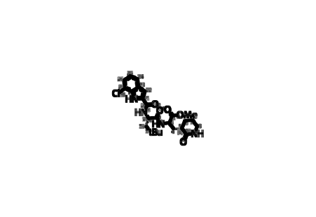 COC(=O)C(C[C@@H]1CCCNC1=O)NC(=O)[C@H](CC(C)(C)C)NC(=O)c1cc2cccc(Cl)c2[nH]1